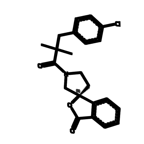 CC(C)(Cc1ccc(Cl)cc1)C(=O)N1CC[C@@]2(C1)OC(=O)c1ccccc12